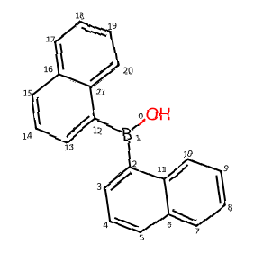 OB(c1cccc2ccccc12)c1cccc2ccccc12